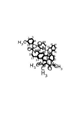 Cc1cccc(OC(=O)N2CCc3cc(-c4cc(C(=O)N(C)c5ccccc5)c(C)n4C)c(C(=O)N4Cc5ccccc5C[C@H]4CN4CCOCC4)cc3C2)c1